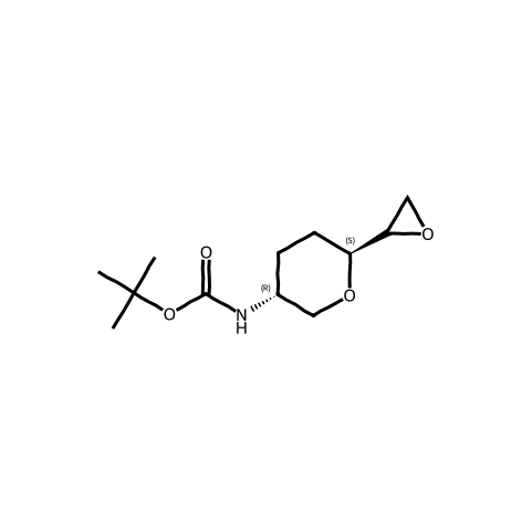 CC(C)(C)OC(=O)N[C@@H]1CC[C@@H](C2CO2)OC1